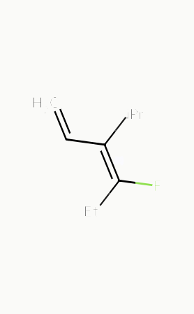 C=C/C(=C(/F)CC)C(C)C